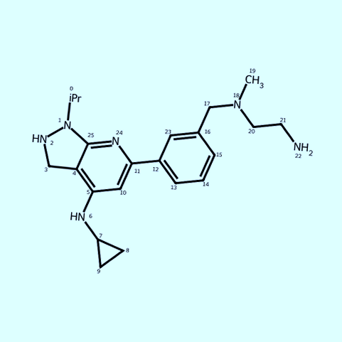 CC(C)N1NCc2c(NC3CC3)cc(-c3cccc(CN(C)CCN)c3)nc21